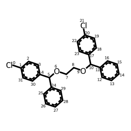 Clc1ccc(C(OCCOC(c2ccccc2)c2ccc(Cl)cc2)c2ccccc2)cc1